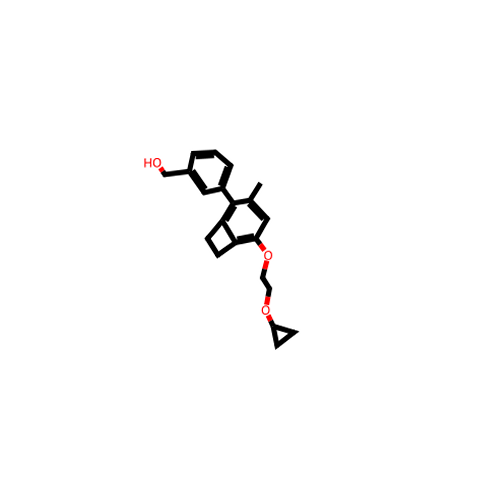 Cc1cc(OCCOC2CC2)c2c(c1-c1cccc(CO)c1)CC2